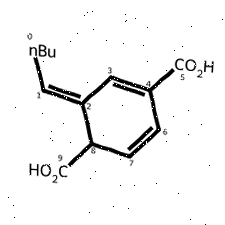 CCCCC=C1C=C(C(=O)O)C=CC1C(=O)O